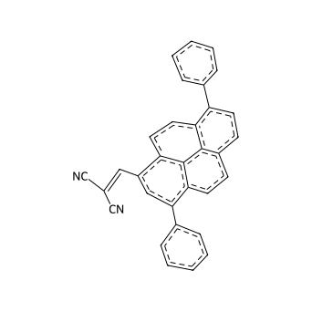 N#CC(C#N)=Cc1cc(-c2ccccc2)c2ccc3ccc(-c4ccccc4)c4ccc1c2c34